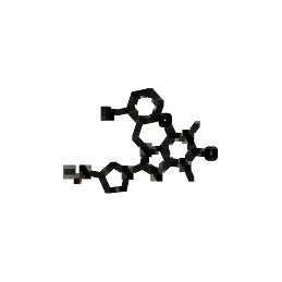 Cn1c(=O)c2c(nc(N3CCC(N)C3)n2Cc2ccccc2Br)n(C)c1=O